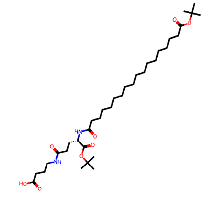 CC(C)(C)OC(=O)CCCCCCCCCCCCCCCCC(=O)N[C@@H](CCC(=O)NCCCC(=O)O)C(=O)OC(C)(C)C